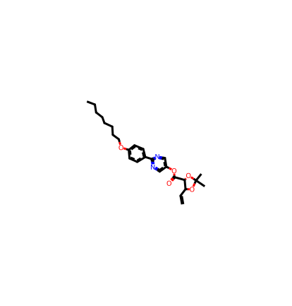 C=CC1OC(C)(C)OC1C(=O)Oc1cnc(-c2ccc(OCCCCCCCC)cc2)nc1